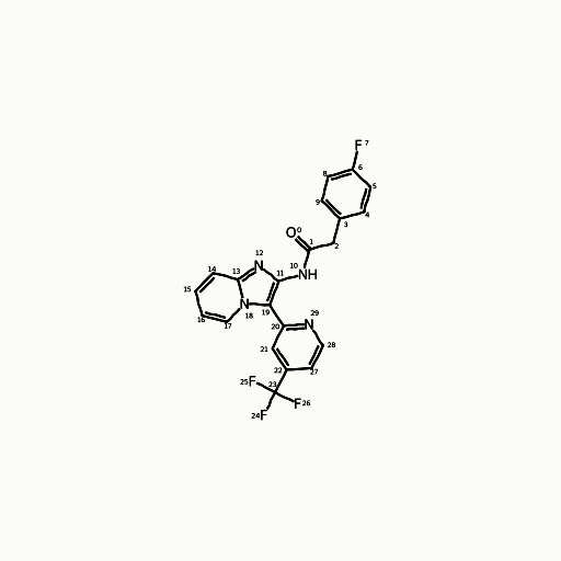 O=C(Cc1ccc(F)cc1)Nc1nc2ccccn2c1-c1cc(C(F)(F)F)ccn1